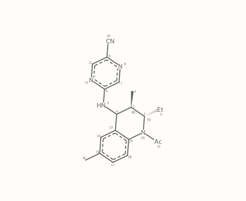 CC[C@H]1[C@H](C)C(Nc2cnc(C#N)cn2)c2cc(C)ccc2N1C(C)=O